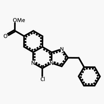 COC(=O)c1ccc2c(c1)nc(Cl)n1cc(Cc3ccccc3)nc21